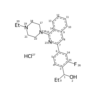 CCC(O)c1ccc(-c2cc3ccccc3c(N3CCN(CC)CC3)n2)cc1F.Cl